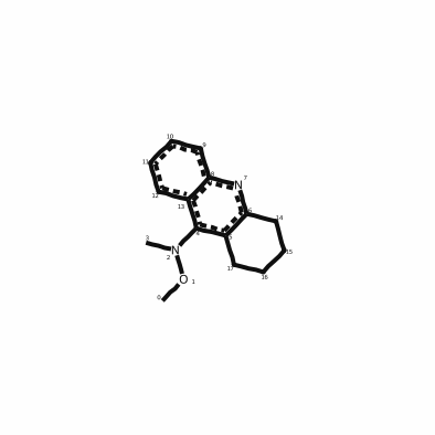 CON(C)c1c2c(nc3ccccc13)CCCC2